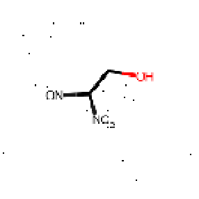 O=NC(CO)[N+](=O)[O-]